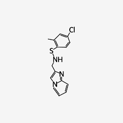 Cc1cc(Cl)ccc1SNCc1cn2ccccc2n1